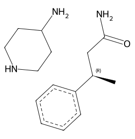 C[C@H](CC(N)=O)c1ccccc1.NC1CCNCC1